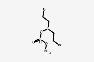 NO[PH](=O)ON(CCBr)CCBr